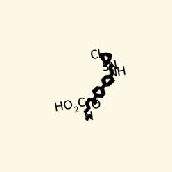 CN(C)CCC(CC(=O)c1ccc(-c2ccc(Nc3nc4ccc(Cl)cc4s3)cc2)cc1)C(=O)O